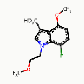 O=C(O)c1cn(CCOC(F)(F)F)c2c(F)ccc(OC(F)(F)F)c12